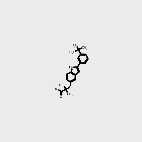 CC(C)(Oc1ccc2[nH]c(-c3cccc(C(C)(C)C)c3)cc2c1)C(=O)O